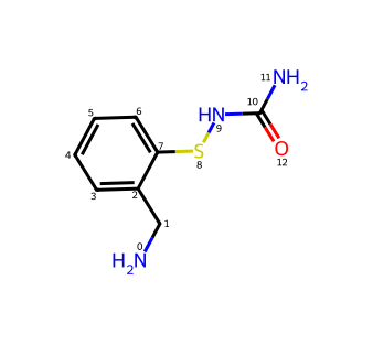 NCc1ccccc1SNC(N)=O